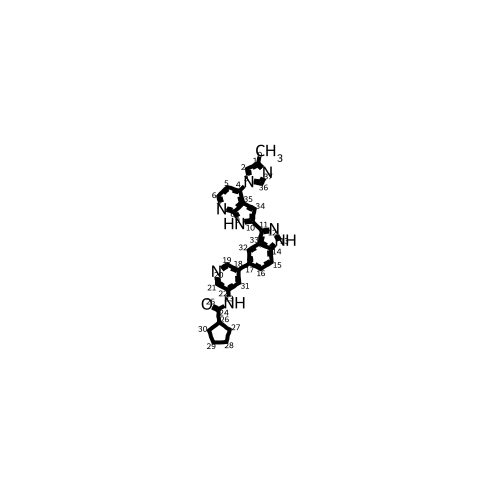 Cc1cn(-c2ccnc3[nH]c(-c4n[nH]c5ccc(-c6cncc(NC(=O)C7CCCC7)c6)cc45)cc23)cn1